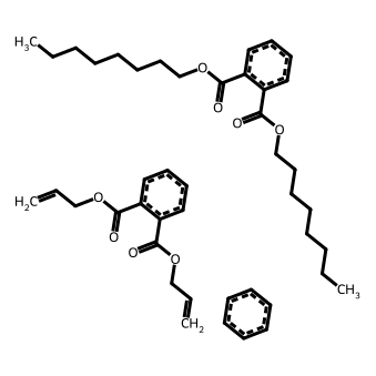 C=CCOC(=O)c1ccccc1C(=O)OCC=C.CCCCCCCCOC(=O)c1ccccc1C(=O)OCCCCCCCC.c1ccccc1